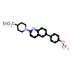 CCOC(=O)C1CCN(c2ccc3cc(-c4ccc(OC(F)(F)F)cc4)ccc3n2)CC1